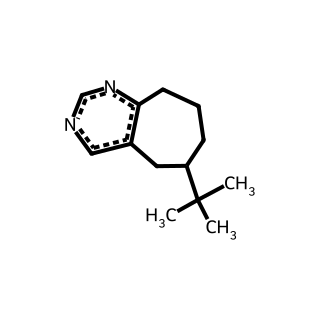 CC(C)(C)C1CCCc2ncncc2C1